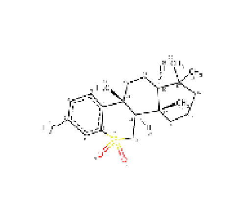 Cc1ccc2c(c1)S(=O)(=O)C[C@@H]1[C@@]3(C)CCCC(C)(C)[C@@H]3CC[C@@]21C